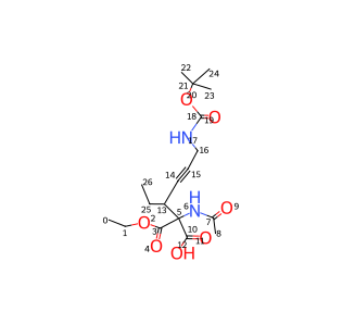 CCOC(=O)C(NC(C)=O)(C(=O)O)C(C#CCNC(=O)OC(C)(C)C)CC